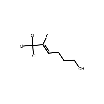 OCCCC=C(Cl)C(Cl)(Cl)Cl